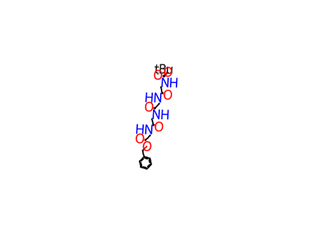 CC(C)(C)OC(=O)NCC(=O)NCC(=O)NCC(=O)NCC(=O)OCc1ccccc1